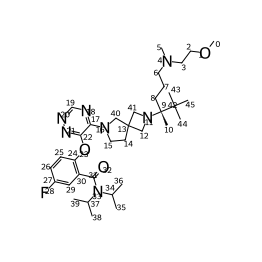 COCCN(C)CCC[C@@](C)(N1CC2(CCN(c3ncnnc3Oc3ccc(F)cc3C(=O)N(C(C)C)C(C)C)C2)C1)C(C)(C)C